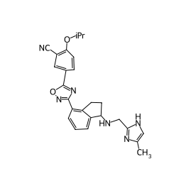 Cc1c[nH]c(CNC2CCc3c(-c4noc(-c5ccc(OC(C)C)c(C#N)c5)n4)cccc32)n1